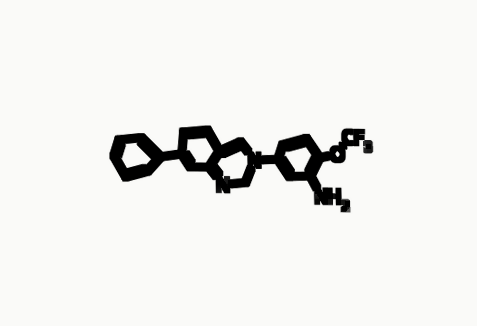 Nc1cc(N2C=c3ccc(-c4ccccc4)cc3=NC2)ccc1OC(F)(F)F